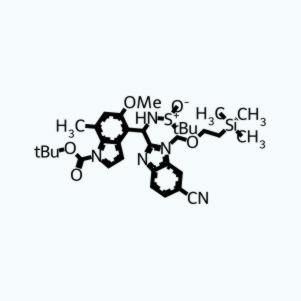 COc1cc(C)c2c(ccn2C(=O)OC(C)(C)C)c1C(N[S+]([O-])C(C)(C)C)c1nc2ccc(C#N)cc2n1COCC[Si](C)(C)C